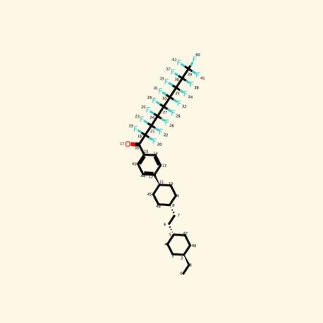 CC[C@H]1CC[C@H](CC[C@H]2CC[C@H](c3ccc(C(=O)C(F)(F)C(F)(F)C(F)(F)C(F)(F)C(F)(F)C(F)(F)C(F)(F)C(F)(F)F)cc3)CC2)CC1